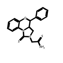 NC(=S)CN1CC2C(c3ccccc3)Oc3ccccc3N2C1=S